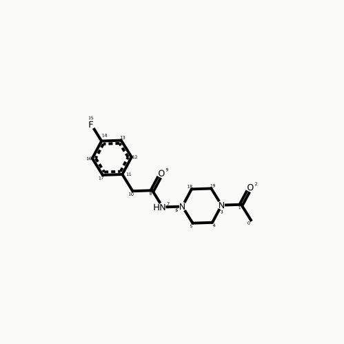 CC(=O)N1CCN(NC(=O)Cc2ccc(F)cc2)CC1